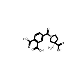 N[C@@]1(C(=O)O)CCN(C(=O)c2ccc(C(=O)O)c(C(=O)O)c2)C1